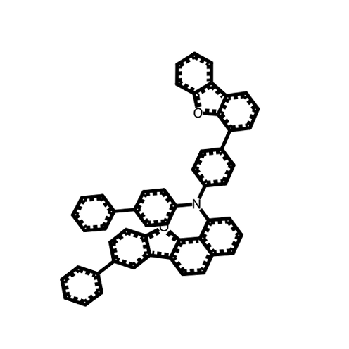 c1ccc(-c2ccc(N(c3ccc(-c4cccc5c4oc4ccccc45)cc3)c3cccc4ccc5c6cc(-c7ccccc7)ccc6oc5c34)cc2)cc1